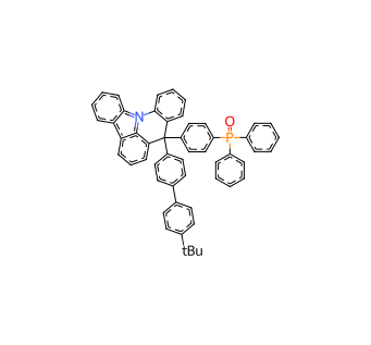 CC(C)(C)c1ccc(-c2ccc(C3(c4ccc(P(=O)(c5ccccc5)c5ccccc5)cc4)c4ccccc4-n4c5ccccc5c5cccc3c54)cc2)cc1